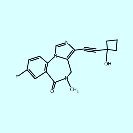 CN1Cc2c(C#CC3(O)CCC3)ncn2-c2ccc(F)cc2C1=O